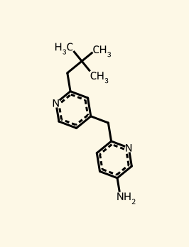 CC(C)(C)Cc1cc(Cc2ccc(N)cn2)ccn1